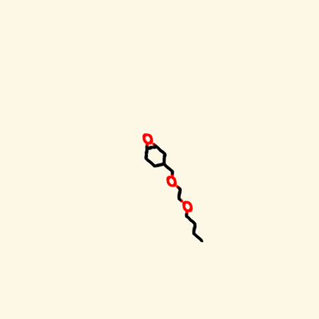 CCCCOCCOCC1CCC2OC2C1